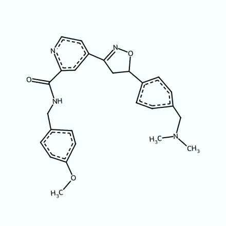 COc1ccc(CNC(=O)c2cc(C3=NOC(c4ccc(CN(C)C)cc4)C3)ccn2)cc1